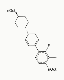 CCCCCCCCc1ccc(C2=CCC([C@H]3CC[C@H](CCCCCCCC)CC3)C=C2)c(F)c1F